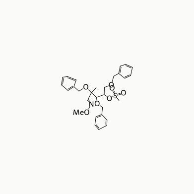 CON=CC(C)(OCc1ccccc1)C(OCc1ccccc1)C(COCc1ccccc1)OS(C)(=O)=O